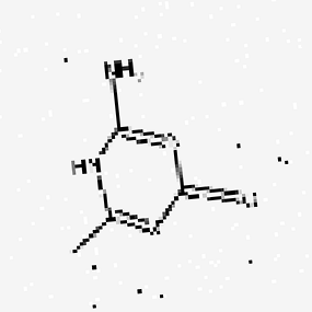 Nc1nc(=O)cc(I)[nH]1